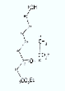 CCOC(=O)CC(=O)CCCCCO.CCOC(C)=O